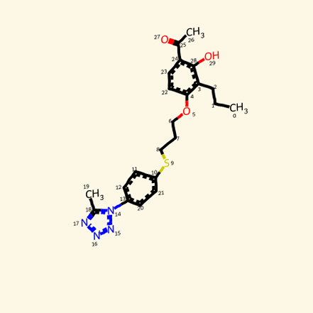 CCCc1c(OCCCSc2ccc(-n3nnnc3C)cc2)ccc(C(C)=O)c1O